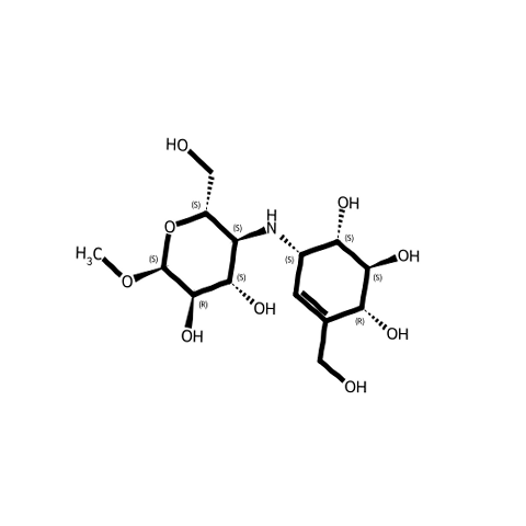 CO[C@H]1O[C@H](CO)[C@@H](N[C@H]2C=C(CO)[C@@H](O)[C@H](O)[C@H]2O)[C@H](O)[C@H]1O